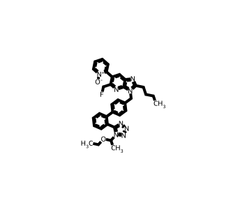 CCCCc1nc2cc(-c3cccc[n+]3[O-])c(CF)nc2n1Cc1ccc(-c2ccccc2-c2nnnn2C(C)OCC)cc1